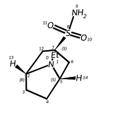 CCN1[C@@H]2CC[C@H]1C[C@H](S(N)(=O)=O)C2